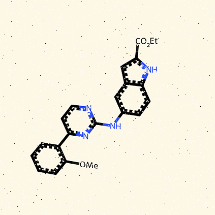 CCOC(=O)c1cc2cc(Nc3nccc(-c4ccccc4OC)n3)ccc2[nH]1